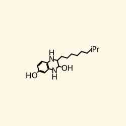 CC(C)CCCCCCC1Nc2ccc(O)cc2NC1O